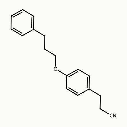 N#CCCc1ccc(OCCCc2ccccc2)cc1